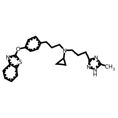 Cc1nc(CCCN(CCCc2ccc(Oc3nc4ccccc4s3)cc2)C2CC2)n[nH]1